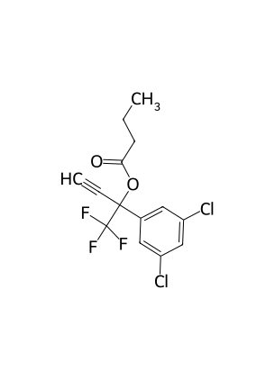 C#CC(OC(=O)CCC)(c1cc(Cl)cc(Cl)c1)C(F)(F)F